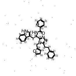 O=C(N[C@H](Cc1c[nH]c2ccccc12)c1nnc(CCc2ccccc2)n1Cc1ccco1)c1ccccn1